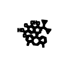 Cc1cccc2c1CCc1c(C)cccc1C2N1CN(C(C2CC2)C2CC2)C(=O)c2c(O)c(=O)c(C(=O)O)cn21